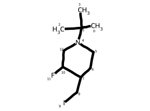 CC(C)(C)N1CCC(CI)C(F)C1